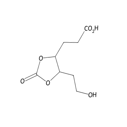 O=C(O)CCC1OC(=O)OC1CCO